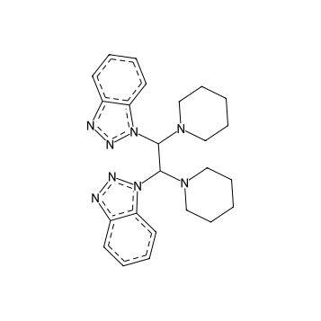 c1ccc2c(c1)nnn2C(C(N1CCCCC1)n1nnc2ccccc21)N1CCCCC1